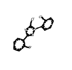 Clc1ccccc1-n1nc(-c2ccccc2Br)nc1Cl